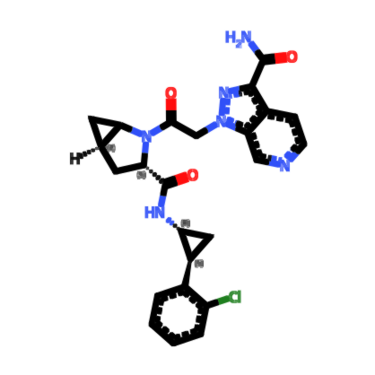 NC(=O)c1nn(CC(=O)N2C3C[C@@H]3C[C@H]2C(=O)N[C@@H]2C[C@H]2c2ccccc2Cl)c2cnccc12